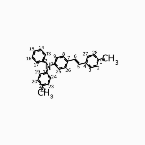 Cc1ccc(C=Cc2ccc(N(c3ccccc3)c3ccc(C)cc3)cc2)cc1